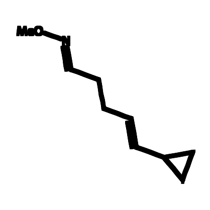 CON=CCCC=CC1[CH]C1